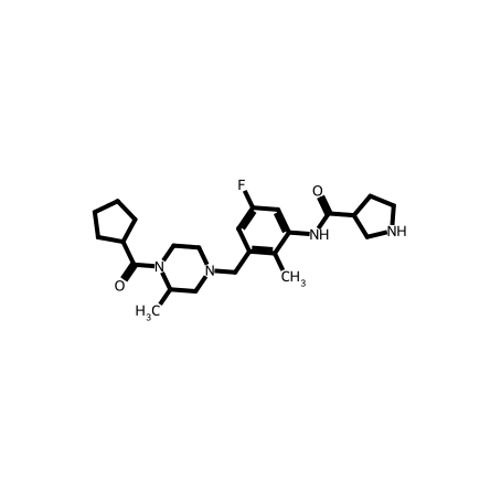 Cc1c(CN2CCN(C(=O)C3CCCC3)C(C)C2)cc(F)cc1NC(=O)C1CCNC1